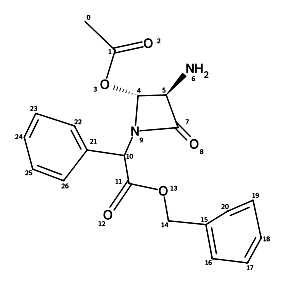 CC(=O)O[C@@H]1[C@@H](N)C(=O)N1C(C(=O)OCc1ccccc1)c1ccccc1